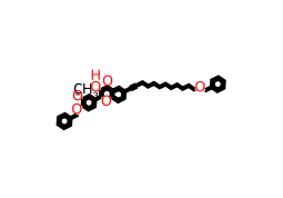 COc1cc(-c2oc3ccc(C#CCCCCCCCCCCOCc4ccccc4)cc3c(=O)c2O)ccc1OCc1ccccc1